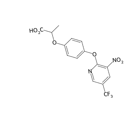 CC(Oc1ccc(Oc2ncc(C(F)(F)F)cc2[N+](=O)[O-])cc1)C(=O)O